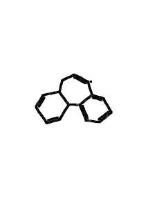 [C]1=CCC2C=CC=CC2c2ccccc21